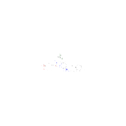 Cc1cc2c(cc1C)CC(Nc1ccc(C(N(C)C(=O)C3CCS(=O)(=O)CC3)C(F)(F)F)nc1)C2